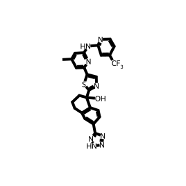 Cc1cc(Nc2cc(C(F)(F)F)ccn2)nc(-c2cnc(C3(O)CCCc4cc(-c5nn[nH]n5)ccc43)s2)c1